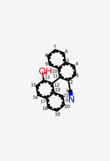 N#Cc1ccc2ccccc2c1-c1c(O)ccc2ccccc12